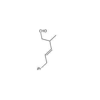 CC(C)C/C=C/C(C)CC=O